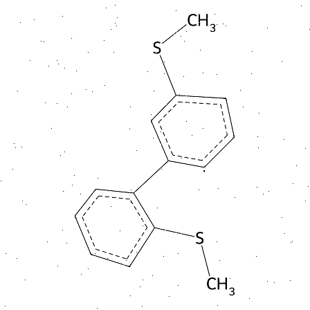 CSc1cc[c]c(-c2ccccc2SC)c1